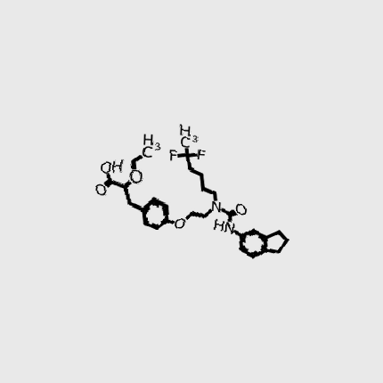 CCOC(Cc1ccc(OCCN(CCCCC(C)(F)F)C(=O)Nc2ccc3c(c2)CCC3)cc1)C(=O)O